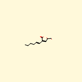 CCCCC=CC1=CC(CO)OC1=O